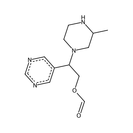 CC1CN(C(COC=O)c2cncnc2)CCN1